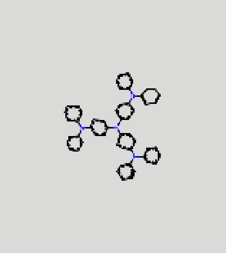 c1cccc(N(c2ccccc2)c2ccc(N(c3ccc(N(C4=CC=CCC4)c4ccccc4)cc3)c3ccc(N(c4ccccc4)c4ccccc4)cc3)cc2)c#1